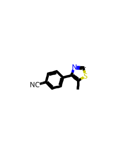 Cc1s[c]nc1-c1ccc(C#N)cc1